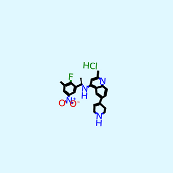 Cc1cc(N[C@H](C)c2cc([N+](=O)[O-])cc(C)c2F)c2cc(C3=CCNCC3)ccc2n1.Cl